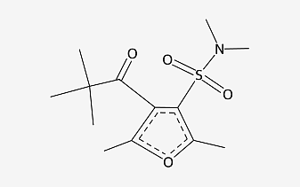 Cc1oc(C)c(S(=O)(=O)N(C)C)c1C(=O)C(C)(C)C